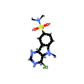 CN(C)S(=O)(=O)c1ccc2c(c1)c1ncnc(Cl)c1n2C